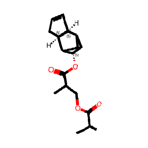 CC(C)C(=O)OCC(C)C(=O)O[C@H]1CC2CC1[C@H]1CC=C[C@@H]21